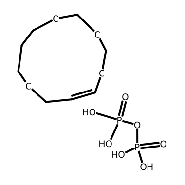 C1=CCCCCCCCCCC1.O=P(O)(O)OP(=O)(O)O